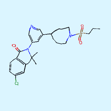 CCCS(=O)(=O)N1CCC(c2cncc(N3C(=O)c4ccc(Cl)cc4C3(C)C)c2)CC1